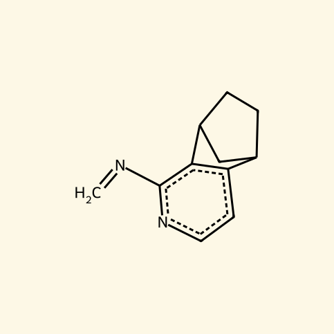 C=Nc1nccc2c1C1CCC2C1